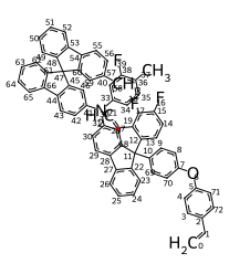 C=Cc1ccc(Oc2ccc(C3(c4ccc(F)c(F)c4C=C)c4ccccc4-c4ccc(N(c5ccc(C)c(F)c5)c5ccc6c(c5)C5(c7ccccc7-c7ccc(C)cc75)c5ccccc5-6)cc43)cc2)cc1